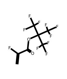 C=C(F)C(=O)OC(C(F)(F)F)(C(F)(F)F)C(F)(F)F